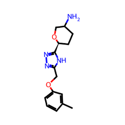 Cc1cccc(OCc2nnc([C@@H]3CCC(N)CO3)[nH]2)c1